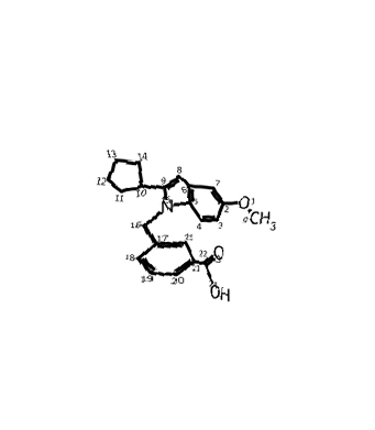 COc1ccc2c(c1)cc(C1CCCC1)n2Cc1cccc(C(=O)O)c1